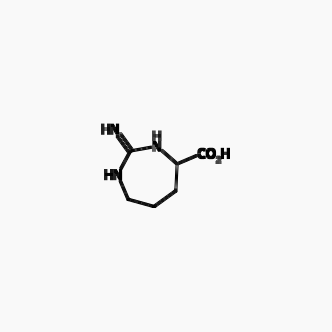 N=C1NCCCC(C(=O)O)N1